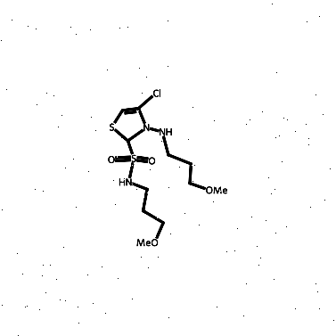 COCCCNN1C(Cl)=CSC1S(=O)(=O)NCCCOC